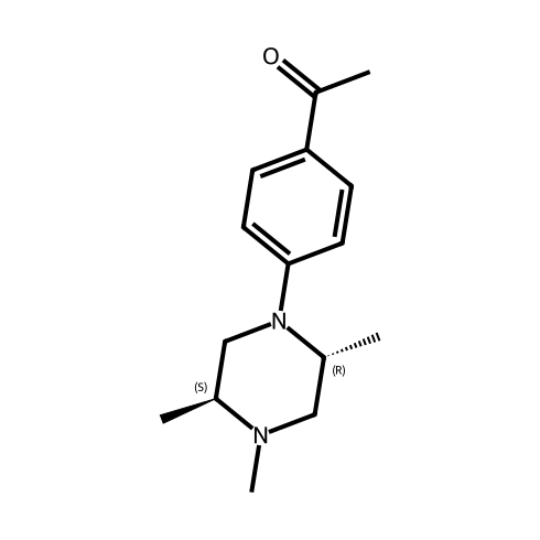 CC(=O)c1ccc(N2C[C@H](C)N(C)C[C@H]2C)cc1